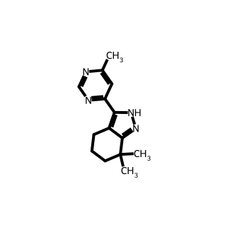 Cc1cc(-c2[nH]nc3c2CCCC3(C)C)ncn1